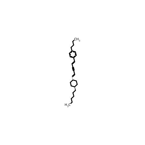 CCCCCC[C@H]1CC[C@H](C=CC#CC=Cc2ccc(CCCC)cc2)CC1